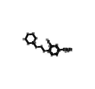 CCOC(=O)c1ccc(CCCN2CCCCC2)c(F)c1